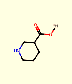 [2H]OC(=O)C1CCCNC1